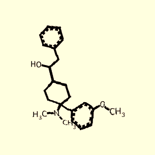 COc1cccc(C2(N(C)C)CCC(C(O)Cc3ccccc3)CC2)c1